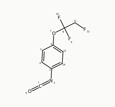 O=C=Nc1ccc(OC(F)(F)CF)cc1